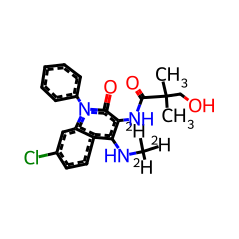 [2H]C([2H])([2H])Nc1c(NC(=O)C(C)(C)CO)c(=O)n(-c2ccccc2)c2cc(Cl)ccc12